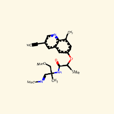 C#Cc1cnc2c(C)cc(OC(SC)C(=O)NC(C)(/C=N/OC)COC)cc2c1